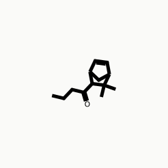 CCCC(=O)C1C2C=CC(C2)C1(C)C